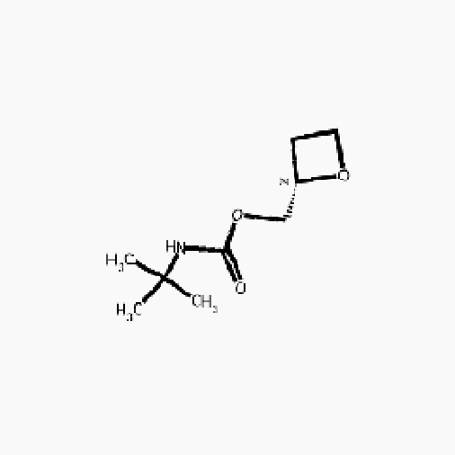 CC(C)(C)NC(=O)OC[C@@H]1CCO1